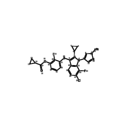 CCCn1cc(-n2c(C3CC3)c(Sc3cccc(OC(=O)C4CC4)c3F)c3ccc(Cl)c(F)c32)cn1